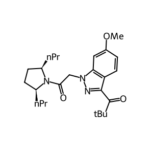 CCC[C@@H]1CC[C@H](CCC)N1C(=O)Cn1nc(C(=O)C(C)(C)C)c2ccc(OC)cc21